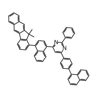 CC1(C)c2cc3ccccc3cc2-c2cccc(-c3ccc(-c4cc(-c5ccc(-c6cccc7ccccc67)cc5)nc(-c5ccccc5)n4)c4ccccc34)c21